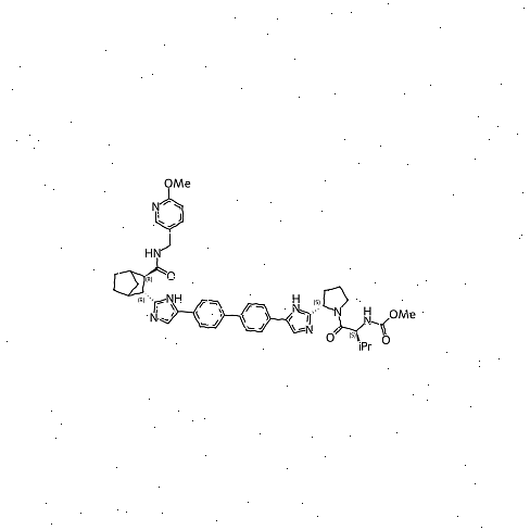 COC(=O)N[C@H](C(=O)N1CCC[C@H]1c1ncc(-c2ccc(-c3ccc(-c4cnc([C@@H]5C6CCC(C6)[C@H]5C(=O)NCc5ccc(OC)nc5)[nH]4)cc3)cc2)[nH]1)C(C)C